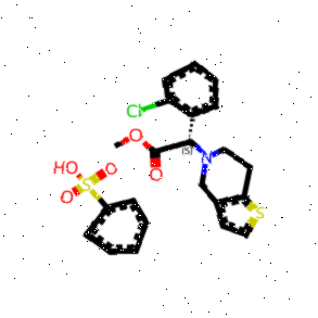 COC(=O)[C@H](c1ccccc1Cl)N1CCc2sccc2C1.O=S(=O)(O)c1ccccc1